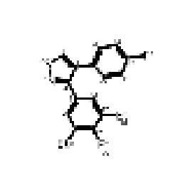 CCc1cc(-c2nscc2-c2ccc(I)cc2)cc(CC)c1CC